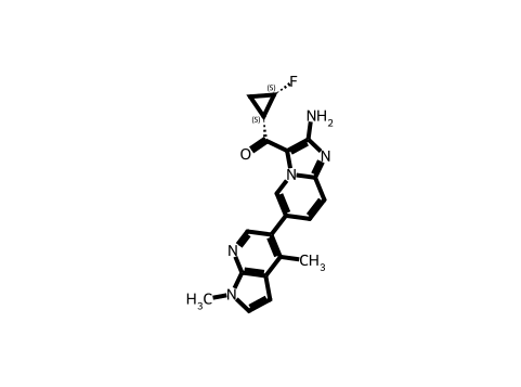 Cc1c(-c2ccc3nc(N)c(C(=O)[C@@H]4C[C@@H]4F)n3c2)cnc2c1ccn2C